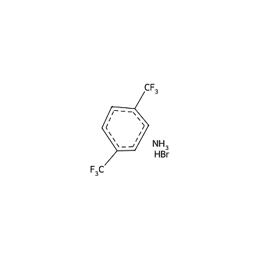 Br.FC(F)(F)c1ccc(C(F)(F)F)cc1.N